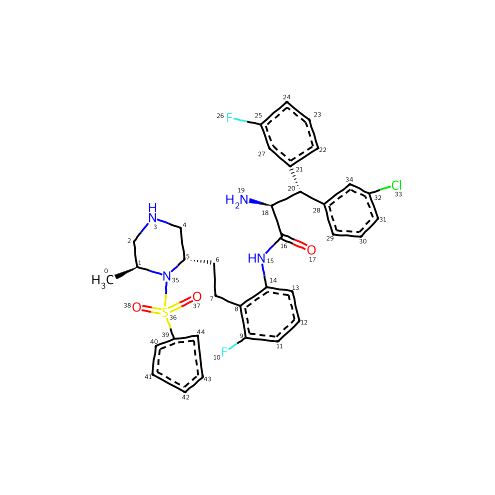 C[C@H]1CNC[C@H](CCc2c(F)cccc2NC(=O)[C@@H](N)[C@H](c2cccc(F)c2)c2cccc(Cl)c2)N1S(=O)(=O)c1ccccc1